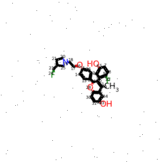 CC1=C(c2cc(O)ccc2F)C(c2ccc(OCCN3CCC(CF)C3)cc2)Oc2ccc(O)cc21